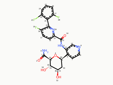 NC(=O)[C@H]1O[C@@H](c2ccncc2NC(=O)c2ccc(F)c(-c3c(F)cccc3F)n2)C[C@@H](O)[C@@H]1O